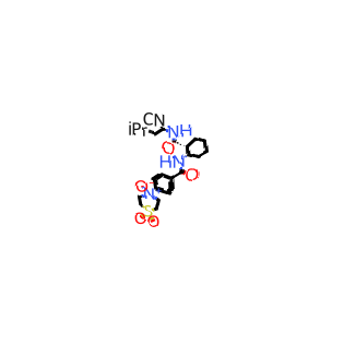 CC(C)C[C@@H](C#N)NC(=O)[C@@H]1CCCC[C@@H]1NC(=O)c1ccc([N+]2([O-])CCS(=O)(=O)CC2)cc1